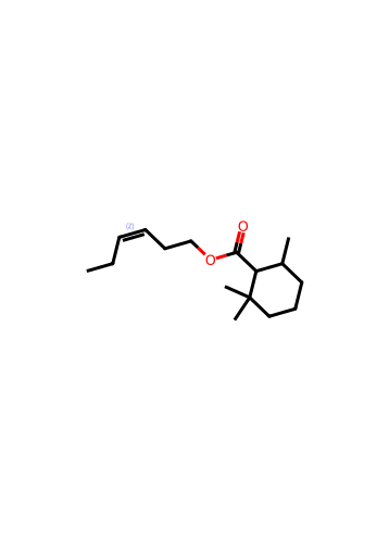 CC/C=C\CCOC(=O)C1C(C)CCCC1(C)C